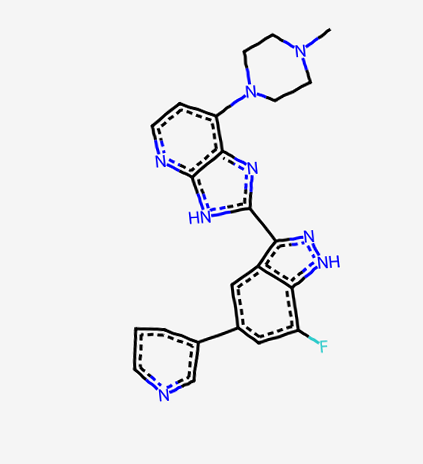 CN1CCN(c2ccnc3[nH]c(-c4n[nH]c5c(F)cc(-c6cccnc6)cc45)nc23)CC1